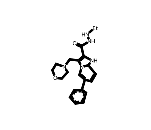 CCNNC(=O)C1=C(CN2CCOCC2)N2C=C(c3ccccc3)C=CC2N1